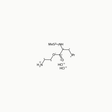 CSNC(CC(C)C)C(=O)OCCN.Cl.Cl